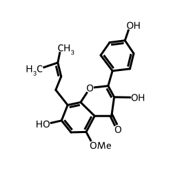 COc1cc(O)c(CC=C(C)C)c2oc(-c3ccc(O)cc3)c(O)c(=O)c12